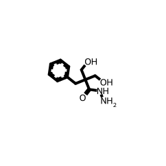 NNC(=O)C(CO)(CO)Cc1ccccc1